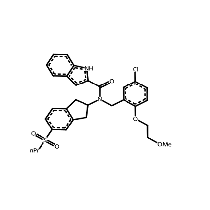 CCCS(=O)(=O)c1ccc2c(c1)CC(N(Cc1cc(Cl)ccc1OCCOC)C(=O)c1cc3ccccc3[nH]1)C2